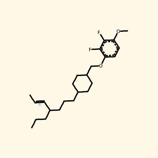 C/C=C/C(CCC)CCCC1CCC(COc2ccc(OC)c(F)c2F)CC1